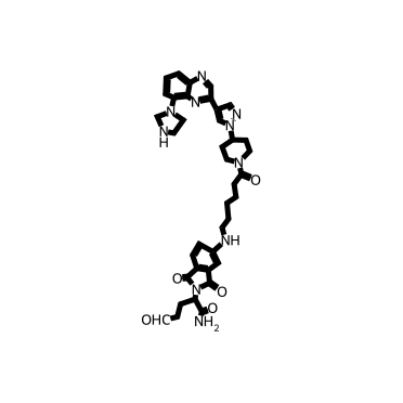 NC(=O)C(CCC=O)N1C(=O)c2ccc(NCCCCCC(=O)N3CCC(n4cc(-c5cnc6cccc(N7CCNC7)c6n5)cn4)CC3)cc2C1=O